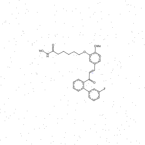 COc1ccc(/C=C/C(=O)c2ccccc2-c2cccc(F)c2)cc1OCCCCCC(=O)NO